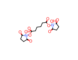 O=C(CCCCC(=O)O[N+]1(O)C(=O)CCC1=O)O[N+]1(O)C(=O)CCC1=O